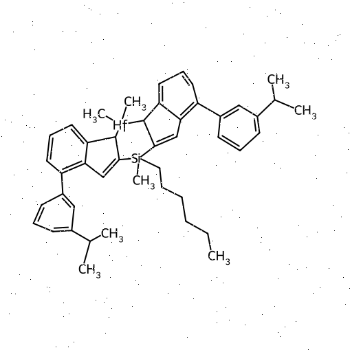 CCCCCC[Si]1(C)C2=Cc3c(-c4cccc(C(C)C)c4)cccc3[CH]2[Hf]([CH3])([CH3])[CH]2C1=Cc1c(-c3cccc(C(C)C)c3)cccc12